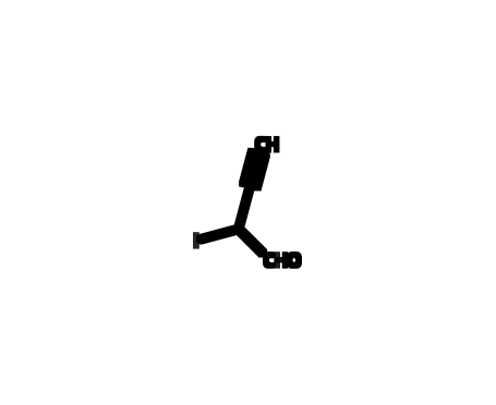 C#CC(I)C=O